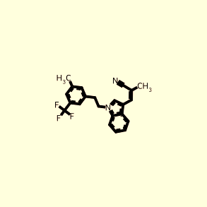 C/C(C#N)=C/c1cn(CCc2cc(C)cc(C(F)(F)F)c2)c2ccccc12